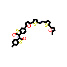 Cc1ccc2c(c1)SC(=O)/C2=C1/C(=O)Sc2cc(-c3ccc(-c4ccc(/C=C/c5ccc(-c6ccc(C)o6)s5)s4)o3)ccc21